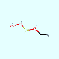 CCOSOO